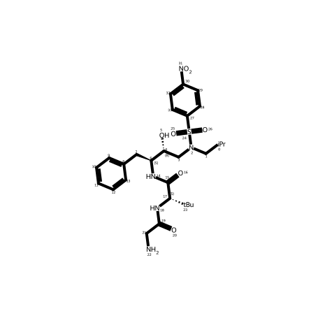 CC(C)CN(C[C@@H](O)[C@H](Cc1ccccc1)NC(=O)[C@@H](NC(=O)CN)C(C)(C)C)S(=O)(=O)c1ccc([N+](=O)[O-])cc1